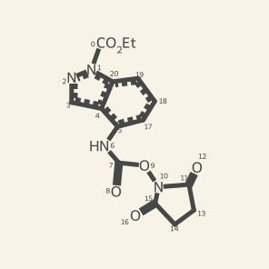 CCOC(=O)n1ncc2c(NC(=O)ON3C(=O)CCC3=O)cccc21